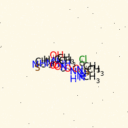 Cc1ncsc1-c1ccc(CNC(=O)[C@@H]2C[C@@H](O)CN2C(=O)[C@@H](NC(=O)c2cccc(OCCNC(=O)CC3N=C(c4ccc(Cl)cc4)c4c(sc(C)c4C)-n4c(C)nnc43)n2)C(C)(C)C)cc1